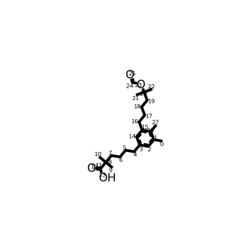 Cc1cc(CCCCC(C)(C)C(=O)O)cc(CCCCC(C)(C)OC=O)c1C